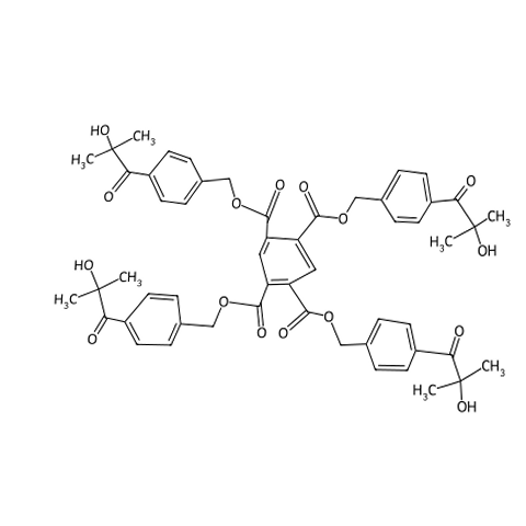 CC(C)(O)C(=O)c1ccc(COC(=O)c2cc(C(=O)OCc3ccc(C(=O)C(C)(C)O)cc3)c(C(=O)OCc3ccc(C(=O)C(C)(C)O)cc3)cc2C(=O)OCc2ccc(C(=O)C(C)(C)O)cc2)cc1